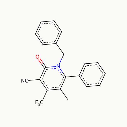 Cc1c(C(F)(F)F)c(C#N)c(=O)n(Cc2ccccc2)c1-c1ccccc1